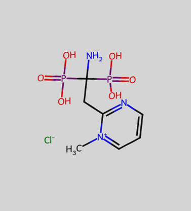 C[n+]1cccnc1CC(N)(P(=O)(O)O)P(=O)(O)O.[Cl-]